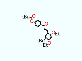 CCOc1cc(OCC)c(C(C)(C)C)cc1C=CC(=O)c1ccc(OC(=O)C(C)(C)C)cc1